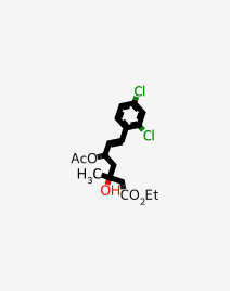 CCOC(=O)CC(C)(O)CC(C=Cc1ccc(Cl)cc1Cl)OC(C)=O